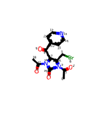 CC(=O)n1c(CBr)c(C(=O)c2ccncc2)n(C(C)=O)c1=O